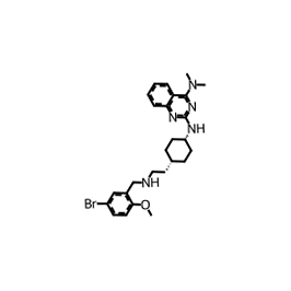 COc1ccc(Br)cc1CNCC[C@H]1CC[C@@H](Nc2nc(N(C)C)c3ccccc3n2)CC1